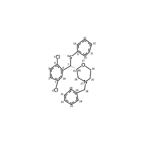 Clc1ccc(Cl)c(C(Sc2ccccc2)[C@H]2CN(Cc3ccccc3)CCO2)c1